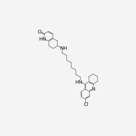 O=c1ccc2c([nH]1)CCC(NCCCCCCCCNc1c3c(nc4cc(Cl)ccc14)CCCC3)C2